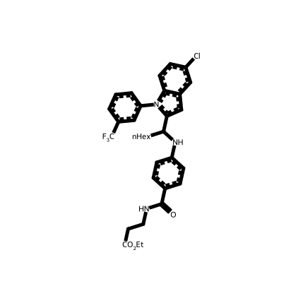 CCCCCCC(Nc1ccc(C(=O)NCCC(=O)OCC)cc1)c1cc2cc(Cl)ccc2n1-c1cccc(C(F)(F)F)c1